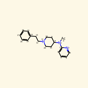 CC(=O)N(c1ccccn1)C1CCN(CCc2ccccc2)CC1